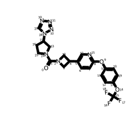 O=C(N1CC(c2ccc(Oc3ccc(OC(F)(F)F)cc3)nc2)C1)N1CCC(n2cnnn2)C1